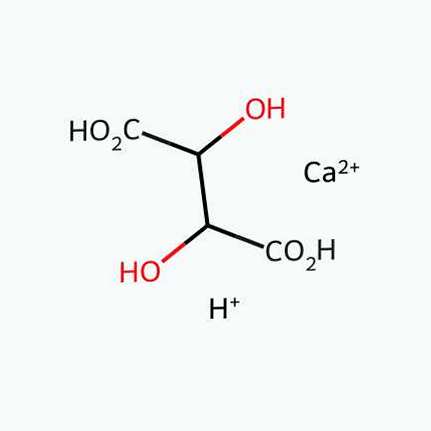 O=C(O)C(O)C(O)C(=O)O.[Ca+2].[H+]